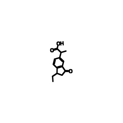 CCC1CC(=O)c2cc(C(C)C(=O)O)ccc21